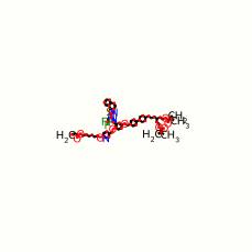 C=CC(=O)OCCCCCCOc1ccc(COc2ccc(OCc3ccc(C4CCC(CCCC(CCOC(=O)C(=C)C)CCOC(=O)C(=C)C)CC4)cc3)cc2/C=N/N(CC(F)(F)F)c2nc3ccc4ccccc4c3s2)cn1